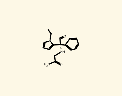 CCn1cccc1[C@](C=O)(NCC(N)=O)c1ccccc1